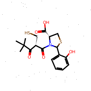 CC(C)(C)C(=O)[C@H](CS)C(=O)N1C(c2ccccc2O)SC[C@H]1C(=O)O